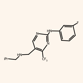 CC(C)CNCc1cnc(Nc2cccc(F)c2)nc1C(F)(F)F